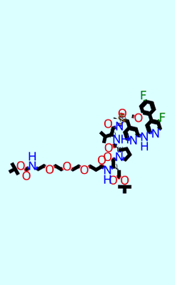 COc1cc(F)ccc1-c1cc(Nc2cc(C[S@](C)(=O)=NC(=O)[C@@H](NC(=O)[C@@H]3CCCN3C(=O)[C@H](CC(=O)OC(C)(C)C)NC(=O)CCOCCOCCOCCNC(=O)OC(C)(C)C)C(C)C)ccn2)ncc1F